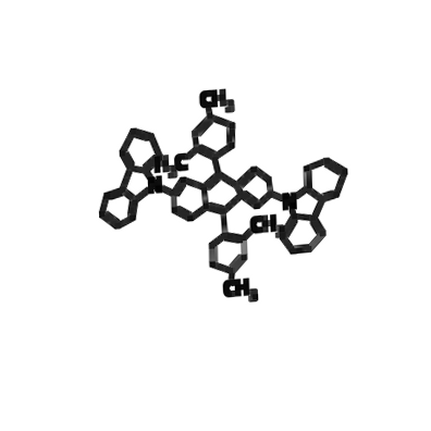 Cc1ccc(-c2c3c(c(-c4ccc(C)cc4C)c4cc(-n5c6ccccc6c6ccccc65)ccc24)=CCC(n2c4ccccc4c4ccccc42)C=3)c(C)c1